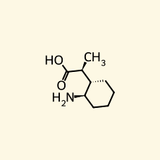 C[C@H](C(=O)O)[C@@H]1CCCC[C@H]1N